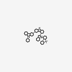 CC1(C)c2ccccc2-c2c(-n3c(-c4cccc5sc6ccc(-c7ccc8c(c7)c7ccccc7n8-c7ccccc7)cc6c45)cc4ccccc43)cccc21